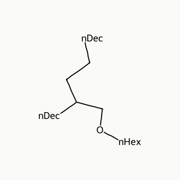 CCCCCCCCCCCCC(CCCCCCCCCC)COCCCCCC